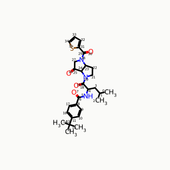 CC(C)CC(NC(=O)c1ccc(C(C)(C)C)cc1)C(=O)N1CCC2C1C(=O)CN2C(=O)c1cccs1